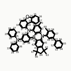 Cc1cc2c3c(c1)N(c1cccc4oc5ccccc5c14)c1cc(N(c4ccccc4)c4ccccc4)ccc1B3c1cc3c(cc1N2c1cc(-c2ccccc2)ccc1C)C(C)(C)CC3(C)C